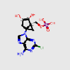 Nc1nc(Cl)nc2c1ncn2C12C[C@H](O)[C@H](O)[C@@]1(COP(=O)(O)O)C2